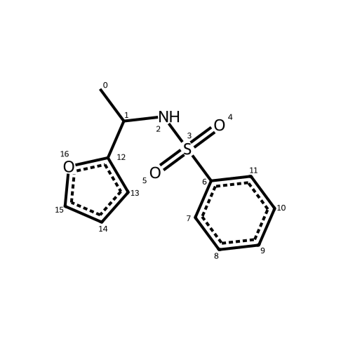 CC(NS(=O)(=O)c1ccccc1)c1ccco1